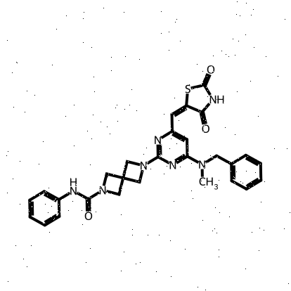 CN(Cc1ccccc1)c1cc(/C=C2/SC(=O)NC2=O)nc(N2CC3(CN(C(=O)Nc4ccccc4)C3)C2)n1